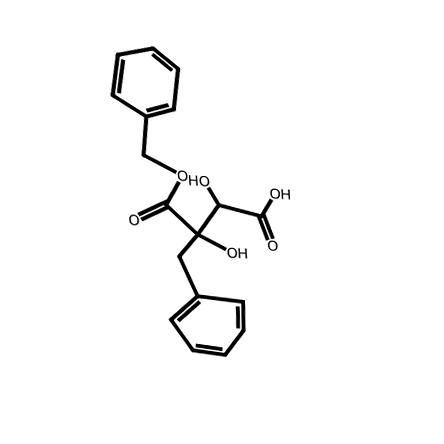 O=C(O)C(O)C(O)(Cc1ccccc1)C(=O)OCc1ccccc1